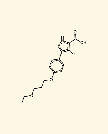 CCOCCCOc1ccc(-c2c[nH]c(C(=O)O)c2F)cc1